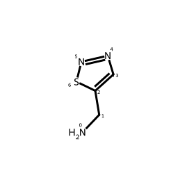 NCc1[c]nns1